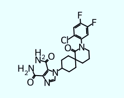 NC(=O)c1ncn(C2CCC3(CCCN(c4cc(F)c(F)cc4Cl)C3=O)CC2)c1C(N)=O